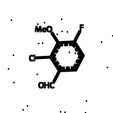 COc1c(F)ccc(C=O)c1Cl